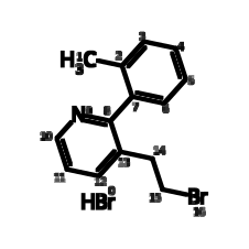 Br.Cc1ccccc1-c1ncccc1CCBr